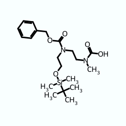 CN(CCN(CCO[Si](C)(C)C(C)(C)C)C(=O)OCc1ccccc1)C(=O)O